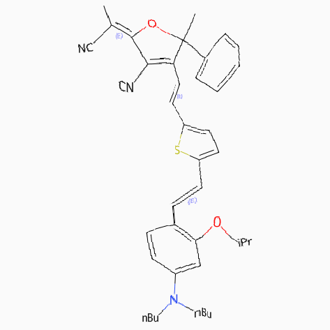 [C-]#[N+]C1=C(/C=C/c2ccc(/C=C/c3ccc(N(CCCC)CCCC)cc3OC(C)C)s2)C(C)(c2ccccc2)O/C1=C(\C)C#N